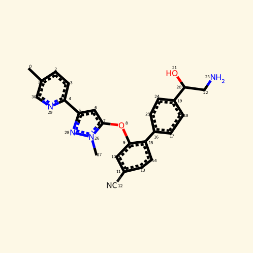 Cc1ccc(-c2cc(Oc3cc(C#N)ccc3-c3ccc(C(O)CN)cc3)n(C)n2)nc1